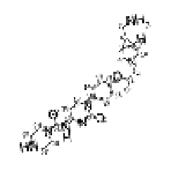 CC(CN1CC2C(CN)[C@@H]2C1)Oc1ccc(-n2ccc(NC(=O)N3CCNCC3)nc2=O)cc1